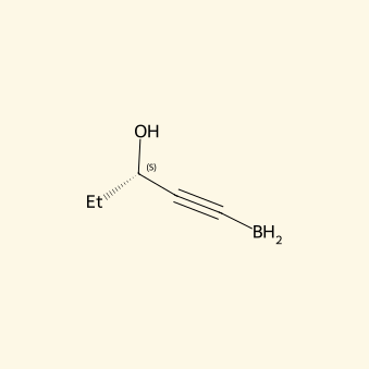 BC#C[C@@H](O)CC